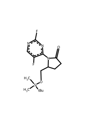 CC(C)(C)[Si](C)(C)OCC1CCC(=O)N1c1nc(F)ncc1F